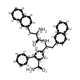 NC(=O)c1nc(C(Cc2ccc3ccccc3c2)NC(=O)C(N)Cc2ccc3ccccc3c2)sc1-c1ccccc1